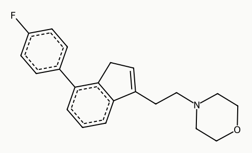 Fc1ccc(-c2cccc3c2CC=C3CCN2CCOCC2)cc1